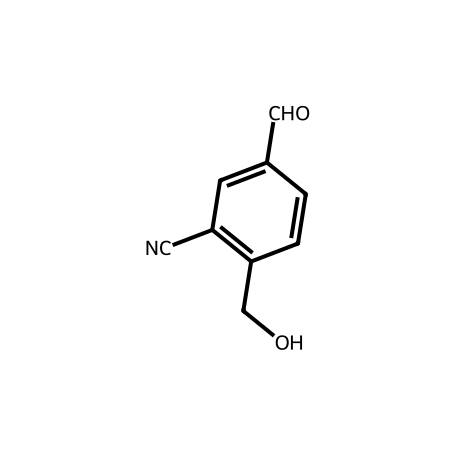 N#Cc1cc(C=O)ccc1CO